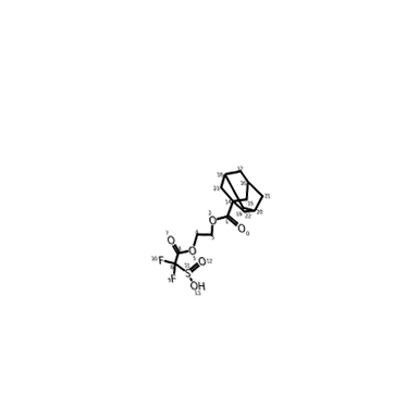 O=C(OCCOC(=O)C(F)(F)S(=O)O)C12CC3CC(CC(C3)C1)C2